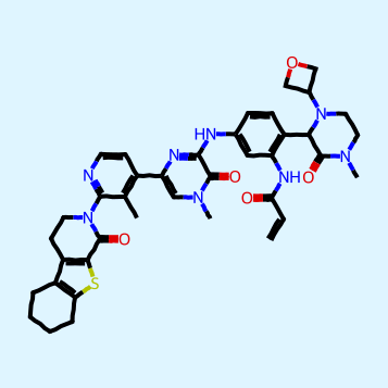 C=CC(=O)Nc1cc(Nc2nc(-c3ccnc(N4CCc5c(sc6c5CCCC6)C4=O)c3C)cn(C)c2=O)ccc1C1C(=O)N(C)CCN1C1COC1